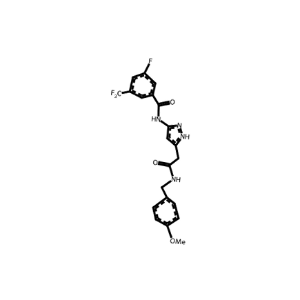 COc1ccc(CNC(=O)Cc2cc(NC(=O)c3cc(F)cc(C(F)(F)F)c3)n[nH]2)cc1